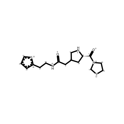 O=C(CC1CN[C@H](C(=O)N2CCSC2)C1)NCCc1cccs1